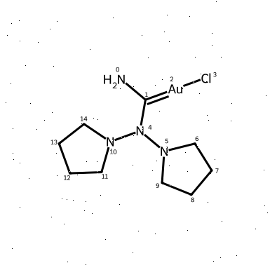 N[C](=[Au][Cl])N(N1CCCC1)N1CCCC1